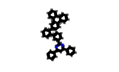 c1ccc(-c2cc(-c3ccccc3)nc(-c3cccc(-c4ccccc4-c4ccc5c6ccccc6c6ccccc6c5c4)c3)n2)cc1